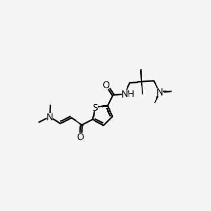 CN(C)C=CC(=O)c1ccc(C(=O)NCC(C)(C)CN(C)C)s1